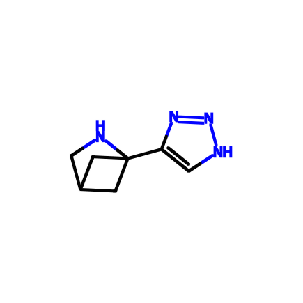 c1[nH]nnc1C12CC(CN1)C2